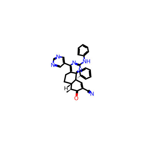 C[C@@H]1C(=O)C(C#N)=C[C@]2(c3ccccc3)c3nc(Nc4ccccc4)nc(-c4cncnc4)c3CC[C@@H]12